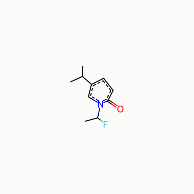 CC(C)c1ccc(=O)n(C(C)F)c1